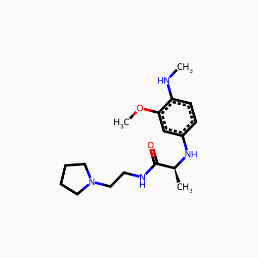 CNc1ccc(N[C@@H](C)C(=O)NCCN2CCCC2)cc1OC